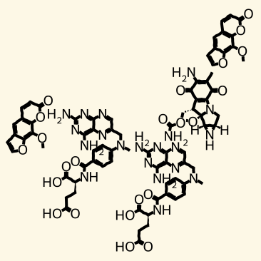 CN(Cc1cnc2nc(N)nc(N)c2n1)c1ccc(C(=O)N[C@@H](CCC(=O)O)C(=O)O)cc1.CN(Cc1cnc2nc(N)nc(N)c2n1)c1ccc(C(=O)N[C@@H](CCC(=O)O)C(=O)O)cc1.CO[C@@]12[C@H](COC(N)=O)C3=C(C(=O)C(C)=C(N)C3=O)N1C[C@@H]1N[C@@H]12.COc1c2occc2cc2ccc(=O)oc12.COc1c2occc2cc2ccc(=O)oc12